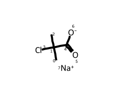 CC(C)(Cl)C(=O)[O-].[Na+]